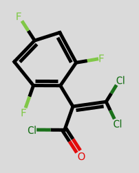 O=C(Cl)C(=C(Cl)Cl)c1c(F)cc(F)cc1F